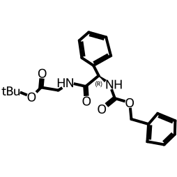 CC(C)(C)OC(=O)CNC(=O)[C@H](NC(=O)OCc1ccccc1)c1ccccc1